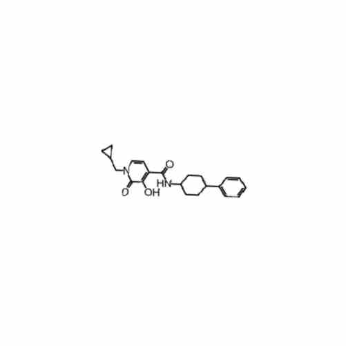 O=C(NC1CCC(c2ccccc2)CC1)c1ccn(CC2CC2)c(=O)c1O